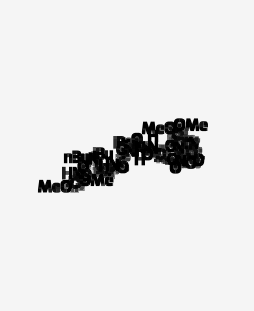 CCCCC(COC(=O)Nc1cc(OC)ccc1OC)N(CCC(C)(C)CC(C)(C)CNC(=O)CCC(=O)NC(C(=O)NCC(=O)Nc1ccc(COC(=O)N(C)CCn2c(=O)c3cc(OC)c(OC)cc3c3cnc4cc5c(cc4c32)OCO5)cc1)C(C)C)C(C)CC